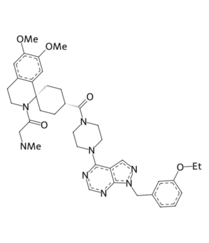 CCOc1cccc(Cn2ncc3c(N4CCN(C(=O)[C@H]5CC[C@@]6(CC5)c5cc(OC)c(OC)cc5CCN6C(=O)CNC)CC4)ncnc32)c1